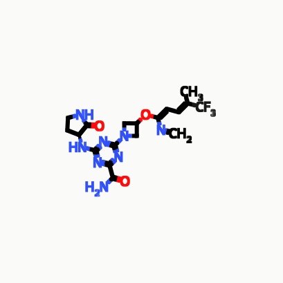 C=N/C(=C\C=C(/C)C(F)(F)F)OC1CN(c2nc(N[C@H]3CCNC3=O)nc(C(N)=O)n2)C1